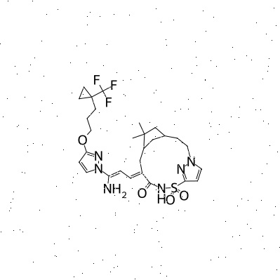 CC1(C)CC2CCn3ccc(n3)S(=O)(=O)NC(=O)/C(=C/C=C(\N)n3ccc(OCCCC4(C(F)(F)F)CC4)n3)CC1C2